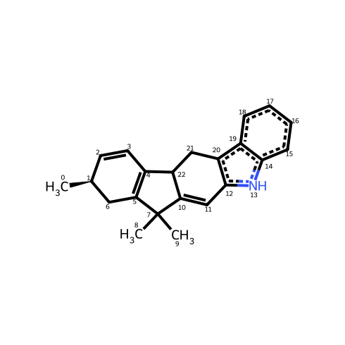 C[C@H]1C=CC2=C(C1)C(C)(C)C1=Cc3[nH]c4ccccc4c3CC12